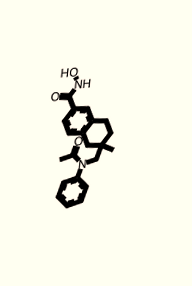 CC(=O)N(CC1(C)CCc2cc(C(=O)NO)ccc2C1)c1ccccc1